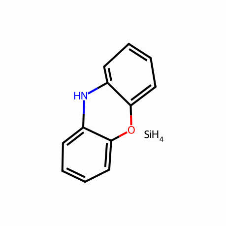 [SiH4].c1ccc2c(c1)Nc1ccccc1O2